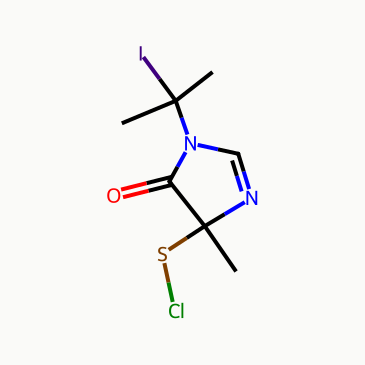 CC1(SCl)N=CN(C(C)(C)I)C1=O